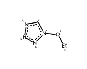 CCOn1cnnn1